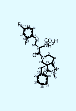 CN1N=C2CCN(C(=O)[C@@H](COc3ccc(F)cc3F)NC(=O)O)C[C@@]2(Cc2ccccc2)C1=O